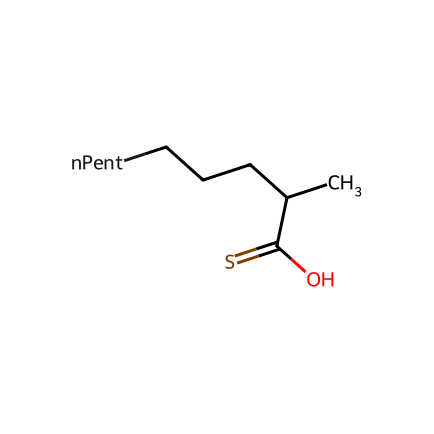 CCCCCCCCC(C)C(O)=S